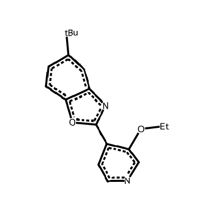 CCOc1cnccc1-c1nc2cc(C(C)(C)C)ccc2o1